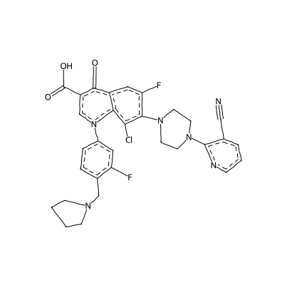 N#Cc1cccnc1N1CCN(c2c(F)cc3c(=O)c(C(=O)O)cn(-c4ccc(CN5CCCC5)c(F)c4)c3c2Cl)CC1